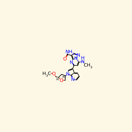 CNc1cc(-c2cn([C@H]3CO[C@@H](COC)C3)c3ncccc23)nc2c(C(N)=O)cnn12